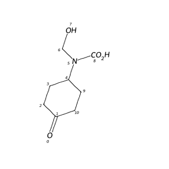 O=C1CCC(N(CO)C(=O)O)CC1